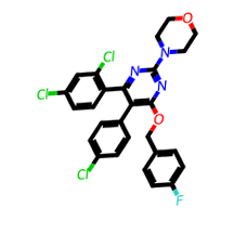 Fc1ccc(COc2nc(N3CCOCC3)nc(-c3ccc(Cl)cc3Cl)c2-c2ccc(Cl)cc2)cc1